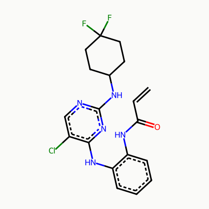 C=CC(=O)Nc1ccccc1Nc1nc(NC2CCC(F)(F)CC2)ncc1Cl